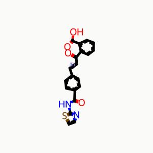 O=C(Nc1nccs1)c1ccc(/C=C/C(=O)c2ccccc2C(=O)O)cc1